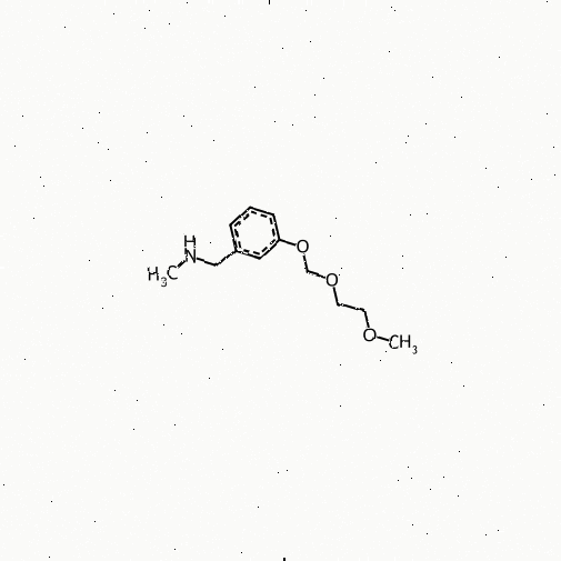 CNCc1cccc(OCOCCOC)c1